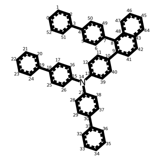 c1ccc(-c2ccc(-c3c(-c4ccc(N(c5ccc(-c6ccccc6)cc5)c5ccc(-c6ccccc6)cc5)cc4)ccc4ccccc34)cc2)cc1